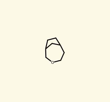 C1CC2CCC(CO1)C2